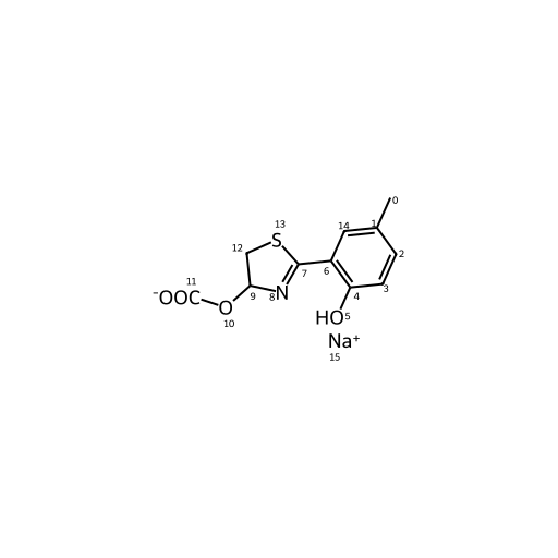 Cc1ccc(O)c(C2=NC(OC(=O)[O-])CS2)c1.[Na+]